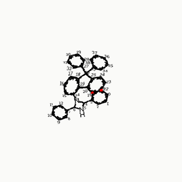 c1ccc(C2NC(c3ccccc3)N2c2cccc3c2-c2ccccc2C3(c2ccccc2)c2ccccc2)cc1